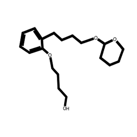 OCCCCOc1ccccc1CCCCOC1CCCCO1